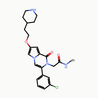 CC(C)NC(=O)Cn1c(-c2cccc(Cl)c2)cn2cc(OCCC3CCNCC3)cc2c1=O